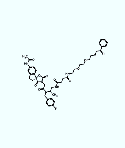 CC(=O)Nc1ccc2c(c1)CC[C@@]21OC(=O)N(CC(=O)N(Cc2ccc(F)cc2)[C@@H](C)CNC(=O)CCC(=O)NCCOCCOCCOCC(=O)c2ccccc2)C1=O